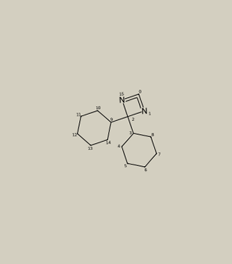 C1=NC(C2CCCCC2)(C2CCCCC2)N=1